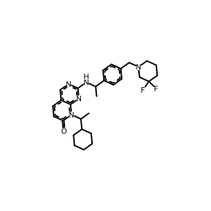 CC(Nc1ncc2ccc(=O)n(C(C)C3CCCCC3)c2n1)c1ccc(CN2CCCC(F)(F)C2)cc1